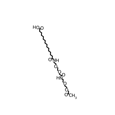 CC(=O)COCCOCCNC(=O)COCCOCCNC(=O)CCCCCCCCCCCCCCC(=O)O